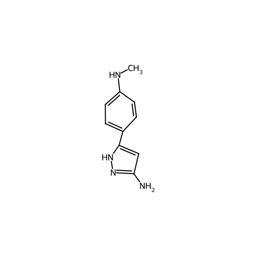 CNc1ccc(-c2cc(N)n[nH]2)cc1